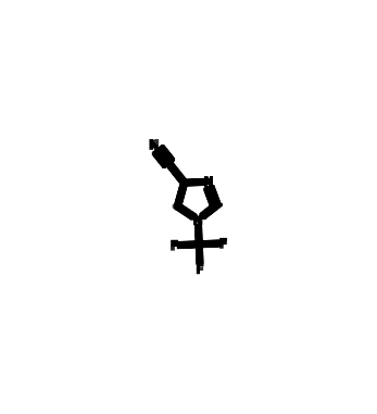 N#CC1[CH]N(C(F)(F)F)[C]=N1